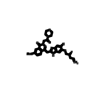 C=CCC(F)COc1cc2[nH]c(Cc3nn(CC(=O)N4CCOCC4)c(=O)c4cc(OC)ccc34)nc2cc1Cl